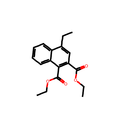 CCOC(=O)c1cc(CC)c2ccccc2c1C(=O)OCC